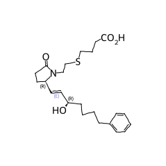 O=C(O)CCCSCCN1C(=O)CC[C@@H]1/C=C/[C@H](O)CCCCc1ccccc1